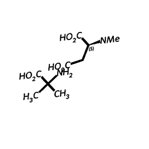 CC(C)(N)C(=O)O.CN[C@@H](CC(=O)O)C(=O)O